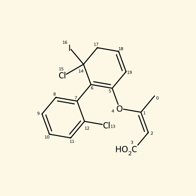 C/C(=C/C(=O)O)OC1=C(c2ccccc2Cl)C(Cl)(I)CC=C1